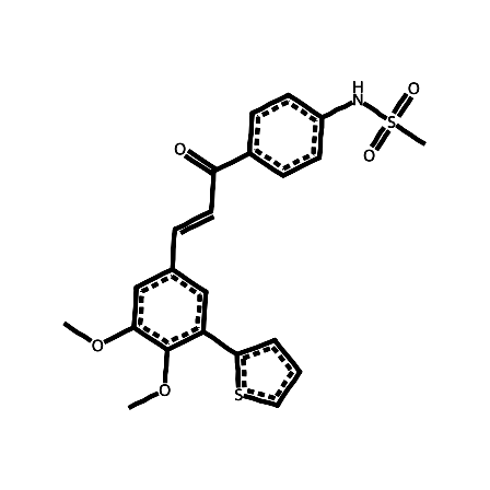 COc1cc(C=CC(=O)c2ccc(NS(C)(=O)=O)cc2)cc(-c2cccs2)c1OC